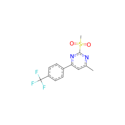 Cc1cc(-c2ccc(C(F)(F)F)cc2)nc(S(C)(=O)=O)n1